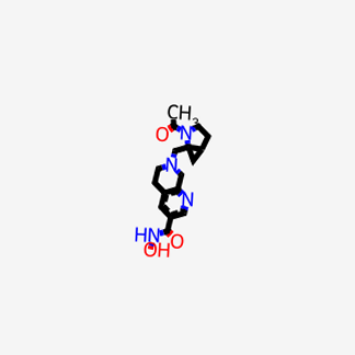 CC(=O)N1CCC2CC21CN1CCc2cc(C(=O)NO)cnc2C1